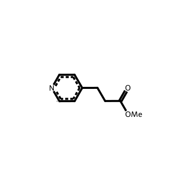 COC(=O)CCc1c[c]ncc1